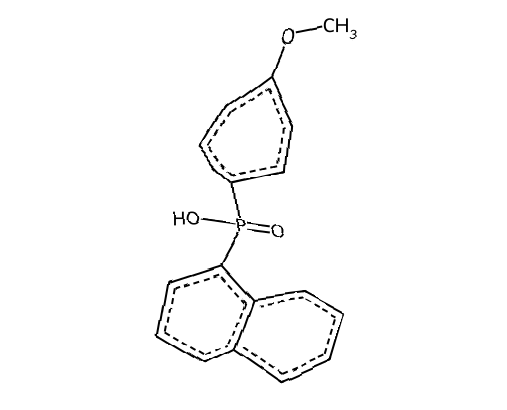 COc1ccc(P(=O)(O)c2cccc3ccccc23)cc1